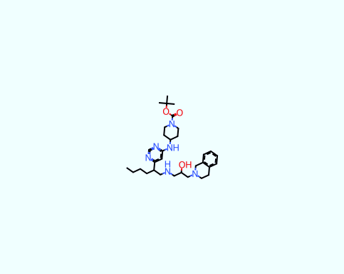 CCCCC(CNCC(O)CN1CCc2ccccc2C1)c1cc(NC2CCN(C(=O)OC(C)(C)C)CC2)ncn1